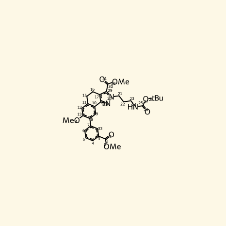 COC(=O)c1cccc(-c2cc3c(cc2OC)CCc2c-3nn(CCCNC(=O)OC(C)(C)C)c2C(=O)OC)c1